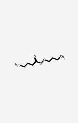 CCCCOOC(=O)CCCC